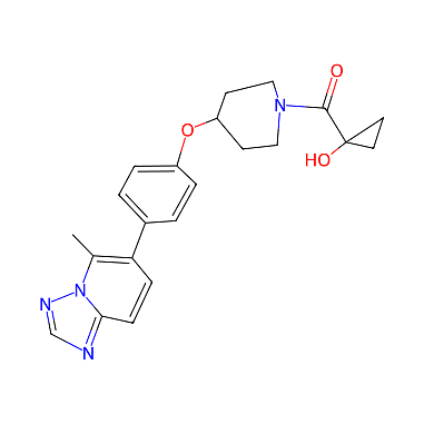 Cc1c(-c2ccc(OC3CCN(C(=O)C4(O)CC4)CC3)cc2)ccc2ncnn12